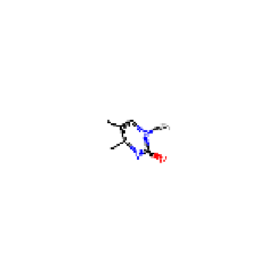 Cc1cn(C(C)C)c(=O)nc1C